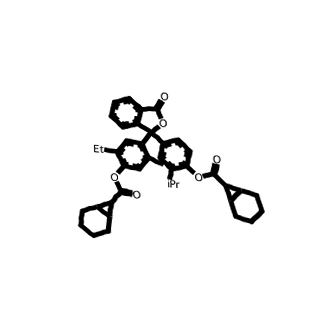 CCc1cc(C2(c3ccc(OC(=O)C4C5CCCCC54)c(C(C)C)c3)OC(=O)c3ccccc32)c(C)cc1OC(=O)C1C2CCCCC21